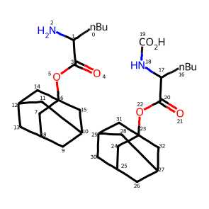 CCCCC(N)C(=O)OC12CC3CC(CC(C3)C1)C2.CCCCC(NC(=O)O)C(=O)OC12CC3CC(CC(C3)C1)C2